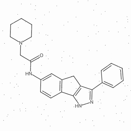 O=C(CN1CCCCC1)Nc1ccc2c(c1)Cc1c(-c3ccccc3)n[nH]c1-2